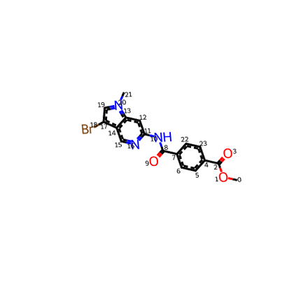 COC(=O)c1ccc(C(=O)Nc2cc3c(cn2)c(Br)cn3C)cc1